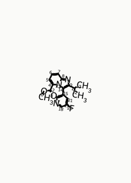 COC(=O)c1cccc2nc(C(C)C)c(-c3cncc(F)c3)n12